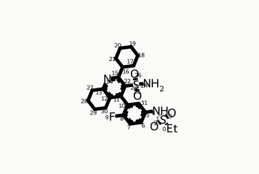 CCS(=O)(=O)Nc1ccc(F)c(-c2c3c(nc(C4CCCCC4)c2S(N)(=O)=O)CCCC3)c1